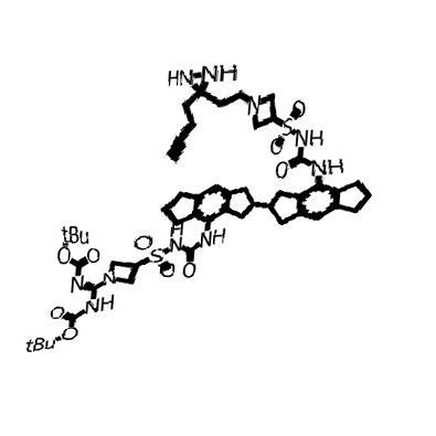 C#CCCC1(CCN2CC(S(=O)(=O)NC(=O)Nc3c4c(cc5c3CC(C3Cc6cc7c(c(NC(=O)NS(=O)(=O)C8CN(/C(=N\C(=O)OC(C)(C)C)NC(=O)OC(C)(C)C)C8)c6C3)CCC7)C5)CCC4)C2)NN1